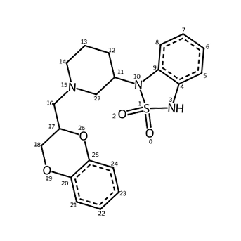 O=S1(=O)Nc2ccccc2N1C1CCCN(CC2COc3ccccc3O2)C1